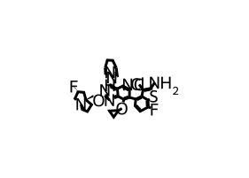 N#Cc1c(N)sc2c(F)ccc(-c3c(Cl)cc4c(N5CC6CCC(C5)N6)nc(OC[C@@]56CCCN5C[C@H](F)C6)nc4c3OC3CC3)c12